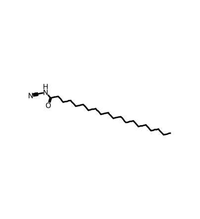 CCCCCCCCCCCCCCCCCCCC(=O)NC#N